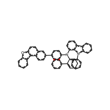 C1=C(c2ccccc2)C(N(c2ccc(-c3ccc4c(ccc5oc6ccccc6c54)c3)cc2)c2cccc3c4ccccc4n(-c4ccccc4)c23)=CCC1